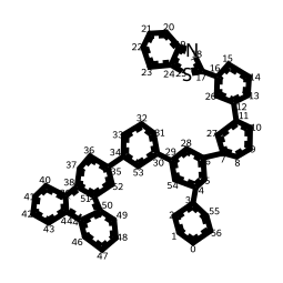 c1ccc(-c2cc(-c3cccc(-c4cccc(-c5nc6ccccc6s5)c4)c3)cc(-c3cccc(-c4ccc5c6ccccc6c6ccccc6c5c4)c3)c2)cc1